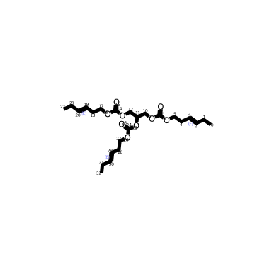 CC/C=C/CCOC(=O)OCC(COC(=O)OCC/C=C/CC)OC(=O)OCC/C=C/CC